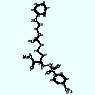 COC(=O)/C(=N/OS(=O)(=O)c1ccc(C)cc1)SCCC(=O)OCCOc1ccccc1